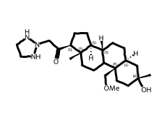 COC[C@]12CC[C@@](C)(O)C[C@@H]1CC[C@@H]1C2CC[C@]2(C)[C@@H](C(=O)CN3NCCN3)CC[C@@H]12